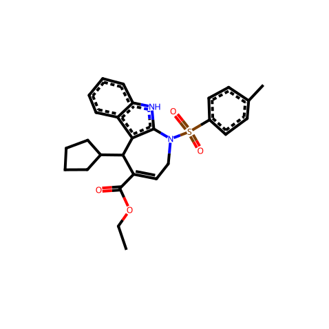 CCOC(=O)C1=CCN(S(=O)(=O)c2ccc(C)cc2)c2[nH]c3ccccc3c2C1C1CCCC1